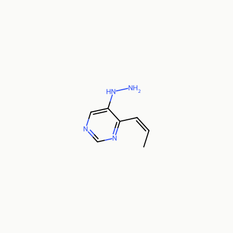 C/C=C\c1ncncc1NN